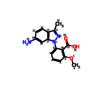 COc1cccc(-n2nc(C)c3ccc(N)cc32)c1C(=O)O